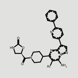 CC(=O)c1c(C2CCN(C(=O)[C@H]3CNC(=O)O3)CC2)nc2c(-c3ccc(-c4ccccc4)nc3)cnn2c1N